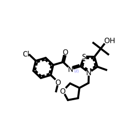 COc1ccc(Cl)cc1C(=O)/N=c1\sc(C(C)(C)O)c(C)n1CC1CCOC1